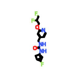 O=C(NCc1ccnc(OCC(F)CF)c1)NC12CC(F)C(C1)C2